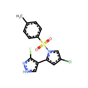 Cc1ccc(S(=O)(=O)n2cc(Cl)cc2-c2c[nH]nc2F)cc1